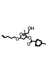 C=CCCCOC1C[C@H](OC(=O)c2ccc(C)cc2)[C@@](C)(CO)O1